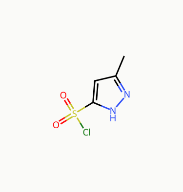 Cc1cc(S(=O)(=O)Cl)[nH]n1